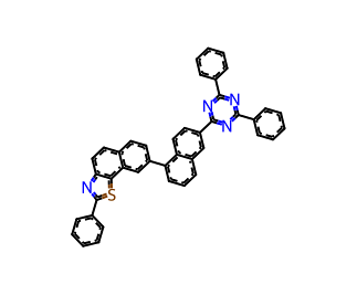 c1ccc(-c2nc(-c3ccccc3)nc(-c3ccc4c(-c5ccc6ccc7nc(-c8ccccc8)sc7c6c5)cccc4c3)n2)cc1